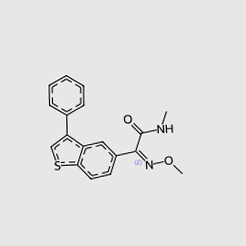 CNC(=O)/C(=N\OC)c1ccc2scc(-c3ccccc3)c2c1